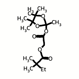 CCC(C)(C)C(=O)OCC(=O)OC1(C)OC(C)(C)C(C)(C)O1